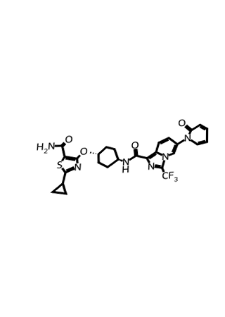 NC(=O)c1sc(C2CC2)nc1O[C@H]1CC[C@H](NC(=O)c2nc(C(F)(F)F)n3cc(-n4ccccc4=O)ccc23)CC1